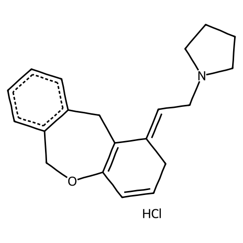 C1=CC2=C(Cc3ccccc3CO2)C(=CCN2CCCC2)C1.Cl